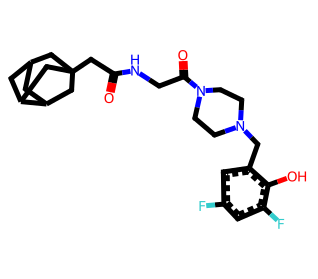 O=C(CC12CC3CC(C1)C(C3)C2)NCC(=O)N1CCN(Cc2cc(F)cc(F)c2O)CC1